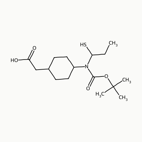 CCC(S)N(C(=O)OC(C)(C)C)C1CCC(CC(=O)O)CC1